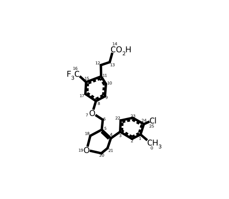 Cc1cc(C2=C(COc3ccc(CCC(=O)O)c(C(F)(F)F)c3)COCC2)ccc1Cl